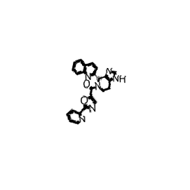 O=C(c1cnc(-c2ccccn2)o1)N1CCc2[nH]cnc2[C@H]1c1ccc2ccccc2n1